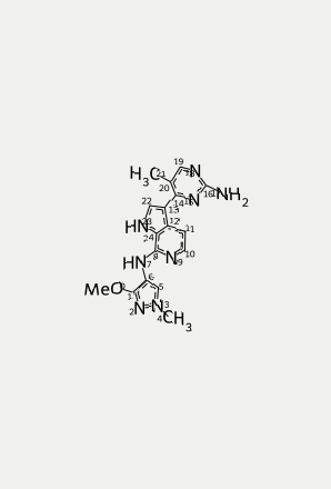 COc1nn(C)cc1Nc1nccc2c(-c3nc(N)ncc3C)c[nH]c12